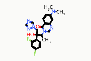 CC(n1cnc2cc(N(C)C)ccc2c1=O)C(O)(Cn1cncn1)c1ccc(F)cc1F